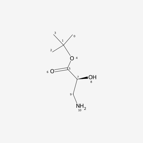 CC(C)(C)OC(=O)[C@@H](O)CN